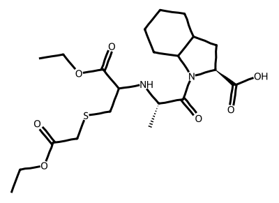 CCOC(=O)CSCC(N[C@@H](C)C(=O)N1C2CCCCC2C[C@H]1C(=O)O)C(=O)OCC